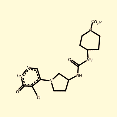 O=C(NC1CCN(C(=O)O)CC1)NC1CCN(c2cn[nH]c(=O)c2Cl)C1